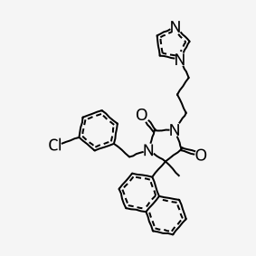 CC1(c2cccc3ccccc23)C(=O)N(CCCn2ccnc2)C(=O)N1Cc1cccc(Cl)c1